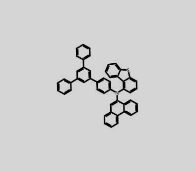 c1ccc(-c2cc(-c3ccccc3)cc(-c3ccc(N(c4cc5ccccc5c5ccccc45)c4cccc5sc6ccccc6c45)cc3)c2)cc1